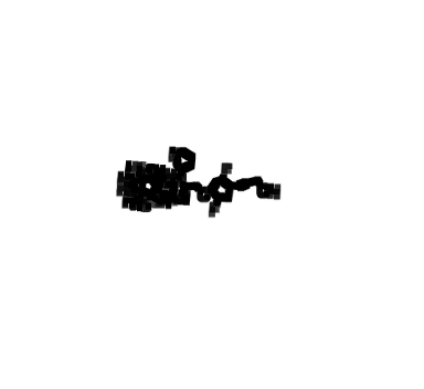 OCC#Cc1cc(F)c(OCc2nnc(SC3(S)C(S)(S)C(S)(S)C(S)(S)C3(S)S)n2-c2cccnc2)cc1F